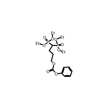 CCOP(=O)(OCC)C(CCCOC(=O)Oc1ccccc1)P(=O)(OCC)OCC